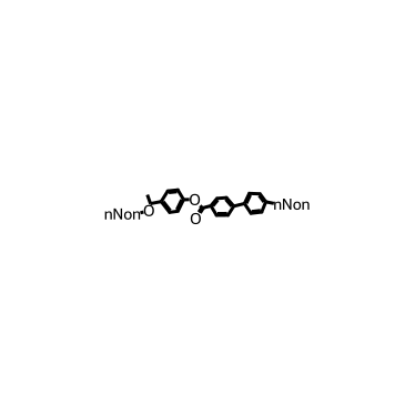 CCCCCCCCCOC(C)c1ccc(OC(=O)c2ccc(-c3ccc(CCCCCCCCC)cc3)cc2)cc1